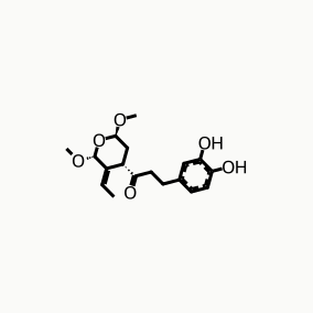 C/C=C1/[C@H](OC)O[C@@H](OC)C[C@@H]1C(=O)CCc1ccc(O)c(O)c1